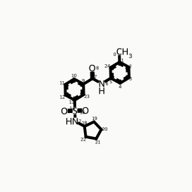 Cc1cccc(NC(=O)c2cccc(S(=O)(=O)NC3CCCC3)c2)c1